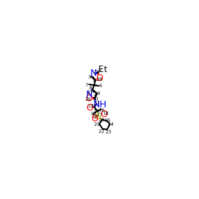 CCc1ncc(C(C)(C)c2cc(NC(=O)C(C)(C)S(=O)(=O)C3CCCCC3)on2)o1